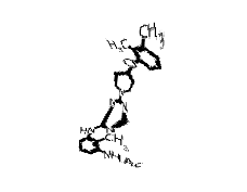 CC(=O)Nc1cccc(Nc2ncnc(N3CCC(Oc4cccc(C)c4C)CC3)n2)c1C